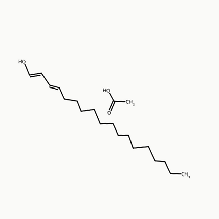 CC(=O)O.CCCCCCCCCCCCCCC=CC=CO